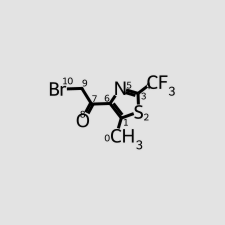 Cc1sc(C(F)(F)F)nc1C(=O)CBr